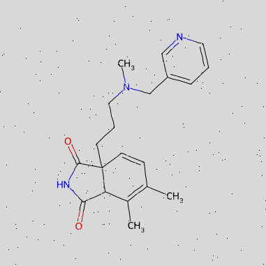 CC1=C(C)C2C(=O)NC(=O)C2(CCCN(C)Cc2cccnc2)C=C1